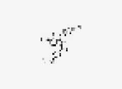 Cc1c(C(C)C(=O)NC(C)(C)C(=O)O)c2c(F)c(O)ccc2n1C(=O)c1ccc(OC(F)(F)F)cc1